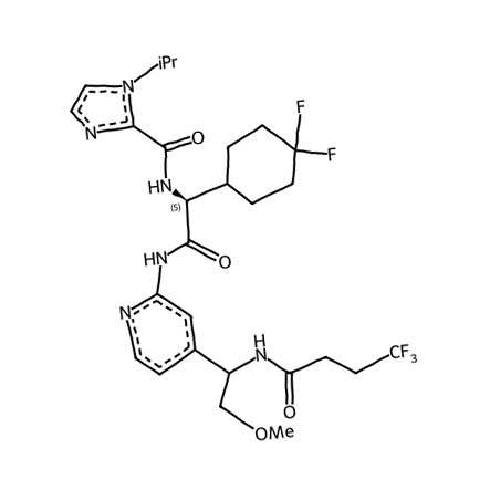 COCC(NC(=O)CCC(F)(F)F)c1ccnc(NC(=O)[C@@H](NC(=O)c2nccn2C(C)C)C2CCC(F)(F)CC2)c1